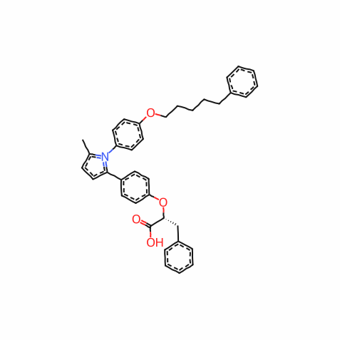 Cc1ccc(-c2ccc(O[C@H](Cc3ccccc3)C(=O)O)cc2)n1-c1ccc(OCCCCCc2ccccc2)cc1